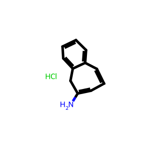 Cl.NC1=CC=Cc2ccccc2C1